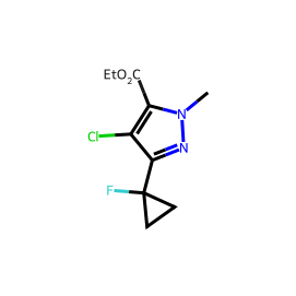 CCOC(=O)c1c(Cl)c(C2(F)CC2)nn1C